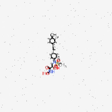 Cc1ccc(C#Cc2ccc(N(C[C@H](O)C(=O)NO)S(C)(=O)=O)cc2)cc1